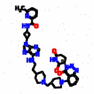 Cc1cccc(C(=O)NC2CC(n3cnc4c(NCCC5CCN(CC6CCN(c7cccc8nnn([C@H]9CCC(=O)NC9=O)c(=O)c78)CC6)CC5)ncnc43)C2)n1